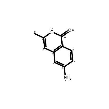 Cc1cc2cc(N)ccc2c(=O)o1